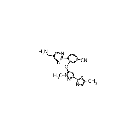 Cc1cnc(-c2cc(Oc3cc(C#N)ccc3-c3ncc(CN)cn3)n(C)n2)s1